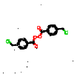 O=C(OOC(=O)c1ccc(CCl)cc1)c1ccc(CCl)cc1